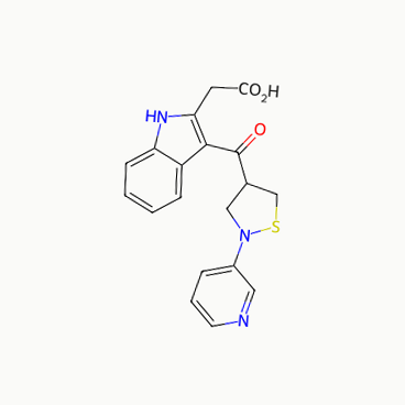 O=C(O)Cc1[nH]c2ccccc2c1C(=O)C1CSN(c2cccnc2)C1